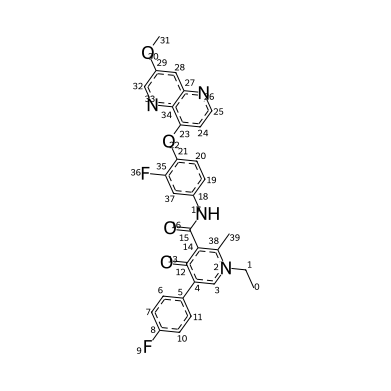 CCn1cc(-c2ccc(F)cc2)c(=O)c(C(=O)Nc2ccc(Oc3ccnc4cc(OC)cnc34)c(F)c2)c1C